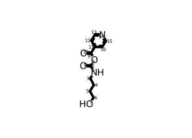 O=C(NCCCCO)OC(=O)c1ccncc1